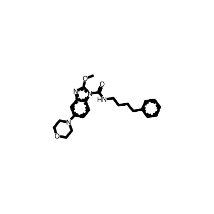 COc1nc2cc(N3CCOCC3)ccc2n1C(=O)NCCCCc1ccccc1